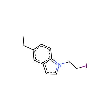 CCc1ccc2c(ccn2CCI)c1